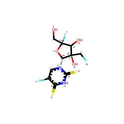 OC[C@@]1(F)O[C@@H](n2cc(F)c(=S)[nH]c2=S)[C@@](O)(CF)C1O